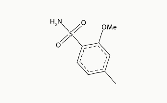 COc1cc(C)ccc1S(N)(=O)=O